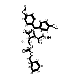 COc1ccc(C(c2ccc(OC)cc2)N2C(=O)[C@H]([C@@H](C)OC(=O)OCc3ccccc3)[C@@H]2C(C)CO)cc1